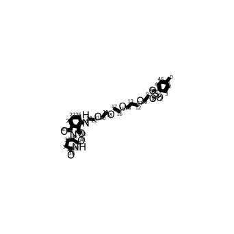 Cc1ccc(S(=O)(=O)OCCOCCCOCCOCCOCCNc2cccc3c2C(=O)N(C2CCC(=O)NC2=O)C3=O)cc1